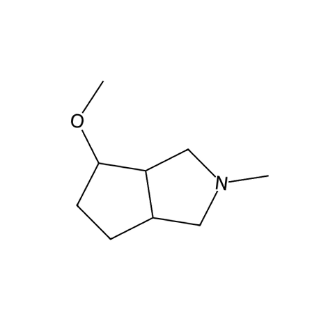 COC1CCC2CN(C)CC21